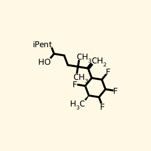 C=C(C1C(F)C(F)C(F)[C@@H](C)C1F)C(C)(C)CCC(O)C(C)CCC